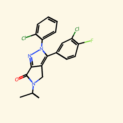 CC(C)N1Cc2c(nn(-c3ccccc3Cl)c2-c2ccc(F)c(Cl)c2)C1=O